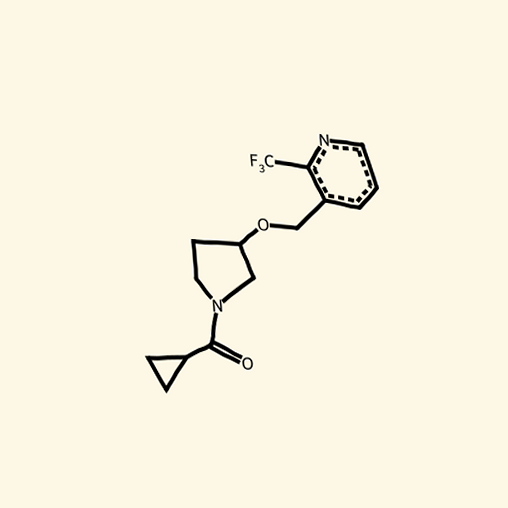 O=C(C1CC1)N1CCC(OCc2cccnc2C(F)(F)F)C1